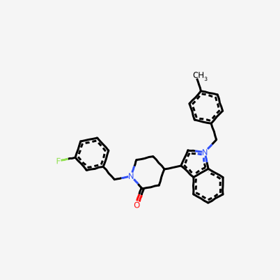 Cc1ccc(Cn2cc(C3CCN(Cc4cccc(F)c4)C(=O)C3)c3ccccc32)cc1